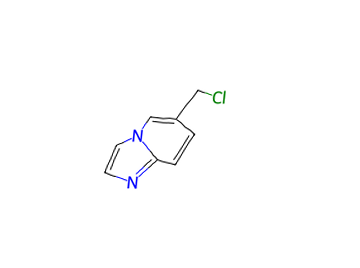 ClCc1ccc2nccn2c1